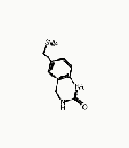 CSCc1ccc2c(c1)CNC(=O)N2